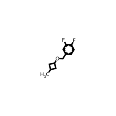 CC1CC(OCc2ccc(F)c(F)c2)C1